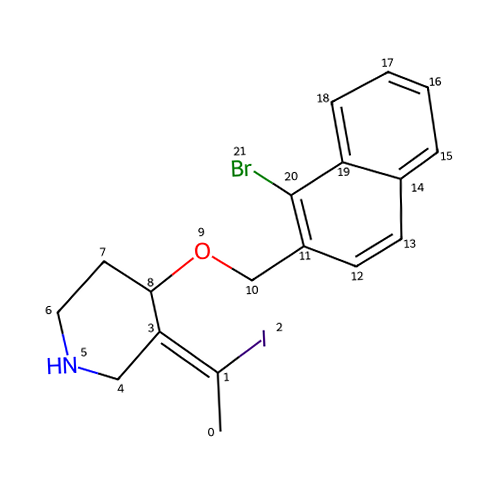 CC(I)=C1CNCCC1OCc1ccc2ccccc2c1Br